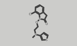 CN(CCON1C(=O)Cc2cccc(Cl)c21)c1ccsc1